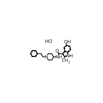 Cc1[nH]c2ccc(O)cc2c1C(=O)NC1CCN(CCc2ccccc2)CC1.Cl